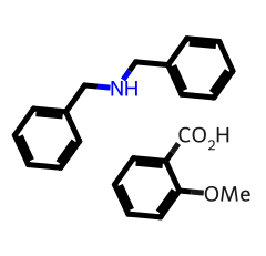 COc1ccccc1C(=O)O.c1ccc(CNCc2ccccc2)cc1